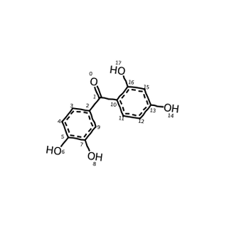 O=C(c1ccc(O)c(O)c1)c1ccc(O)cc1O